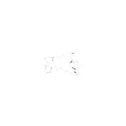 C=C(CCCCCC1CCCCC1)C(=O)O.C=C(CCCCCCC1CCCCC1)C(=O)O